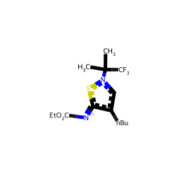 CCCCc1cn(C(C)(C)C(F)(F)F)s/c1=N\C(=O)OCC